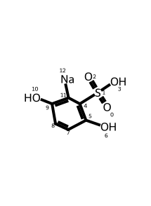 O=S(=O)(O)c1c(O)ccc(O)[c]1[Na]